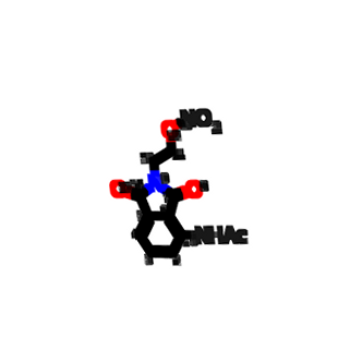 CC(=O)Nc1cccc2c1C(=O)N(CCO[N+](=O)[O-])C2=O